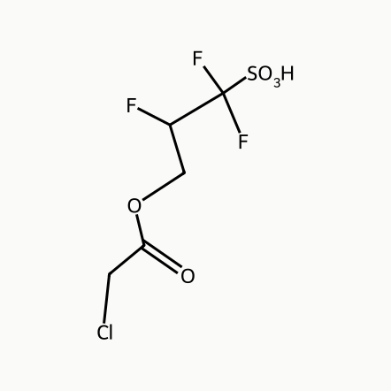 O=C(CCl)OCC(F)C(F)(F)S(=O)(=O)O